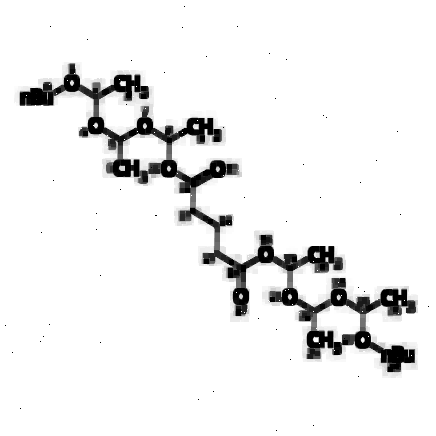 CCCCOC(C)OC(C)OC(C)OC(=O)CCCC(=O)OC(C)OC(C)OC(C)OCCCC